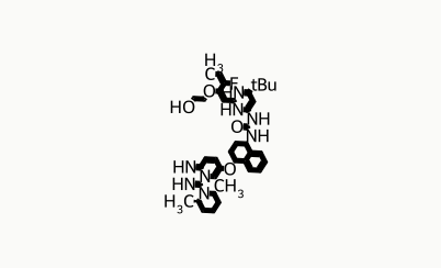 C/C=C(F)\C(=C/CN/C(=C\C(=N)C(C)(C)C)NC(=O)N[C@H]1CC[C@@H](Oc2ccc(=N)n(C(=N)N3[C@H](C)CCC[C@@H]3C)c2)c2ccccc21)OCCO